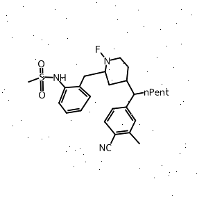 CCCCCC(c1ccc(C#N)c(C)c1)C1CCN(F)C(Cc2ccccc2NS(C)(=O)=O)C1